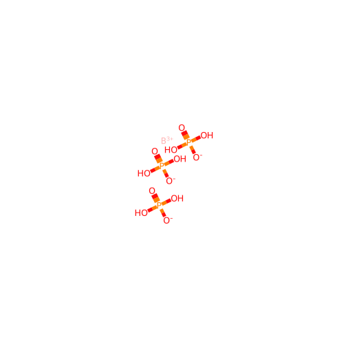 O=P([O-])(O)O.O=P([O-])(O)O.O=P([O-])(O)O.[B+3]